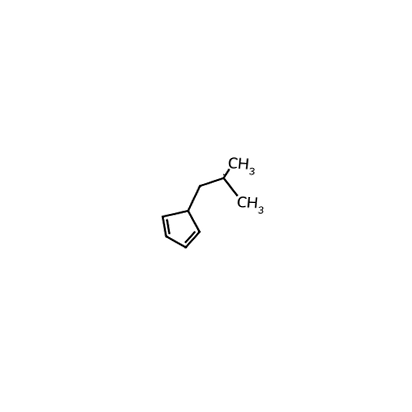 C[C](C)CC1C=CC=C1